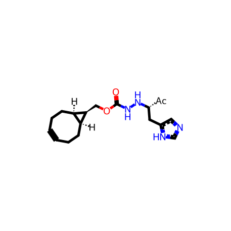 CC(=O)[C@H](Cc1cnc[nH]1)NNC(=O)OC[C@@H]1[C@@H]2CCC#CCC[C@@H]21